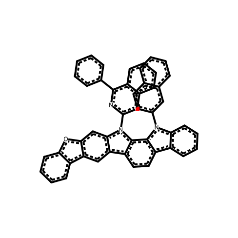 c1ccc(-c2nc(-n3c4cc5oc6ccccc6c5cc4c4ccc5c6ccccc6n(-c6ccc7ccccc7c6)c5c43)nc3ccccc23)cc1